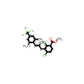 COC(=O)c1ccc(Cl)c(C/C(C)=C/c2c(C)cc(C(F)(F)F)cc2C)c1Cl